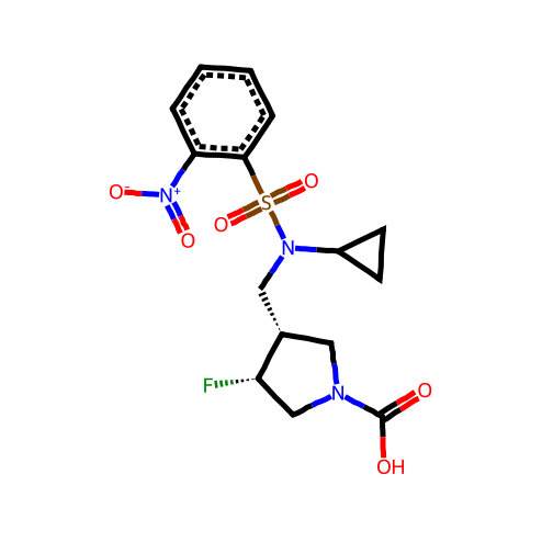 O=C(O)N1C[C@@H](CN(C2CC2)S(=O)(=O)c2ccccc2[N+](=O)[O-])[C@@H](F)C1